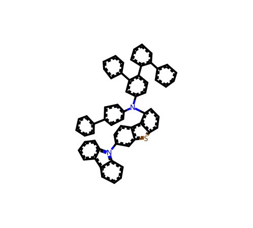 c1ccc(-c2ccc(N(c3ccc(-c4ccccc4-c4ccccc4)c(-c4ccccc4)c3)c3cccc4sc5cc(-n6c7ccccc7c7ccccc76)ccc5c34)cc2)cc1